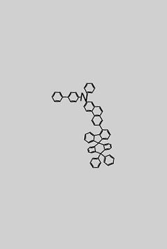 c1ccc(-c2ccc(N(c3ccccc3)c3ccc4c(ccc5cc(-c6cccc7c6-c6ccccc6C76c7ccccc7C(c7ccccc7)(c7ccccc7)c7ccccc76)ccc54)c3)cc2)cc1